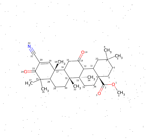 COC(=O)[C@]12CCC(C)(C)CC1C1C(=O)CC3[C@@]4(C)C=C(C#N)C(=O)C(C)(C)C4CC[C@@]3(C)[C@]1(C)CC2